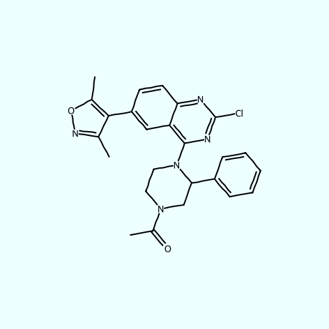 CC(=O)N1CCN(c2nc(Cl)nc3ccc(-c4c(C)noc4C)cc23)C(c2ccccc2)C1